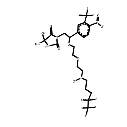 CC1(C)NC(=O)N(CC(OCCOCC[S+]([O-])CCCC(F)(F)C(F)(F)F)c2ccc([N+](=O)[O-])c(C(F)(F)F)c2)C1=O